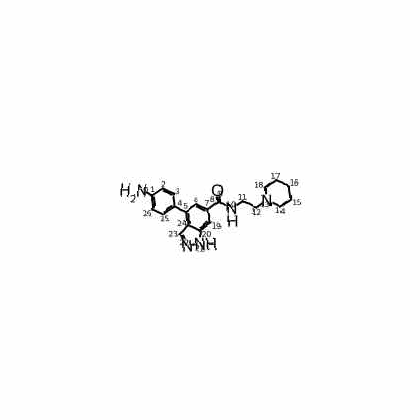 Nc1ccc(-c2cc(C(=O)NCCN3CCCCC3)cc3[nH]ncc23)cc1